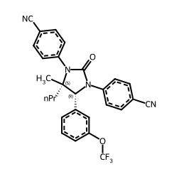 CCC[C@@]1(C)[C@@H](c2cccc(OC(F)(F)F)c2)N(c2ccc(C#N)cc2)C(=O)N1c1ccc(C#N)cc1